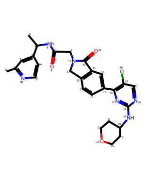 Cc1cc(C(C)NC(=O)CN2Cc3ccc(-c4nc(NC5CCOCC5)ncc4Cl)cc3C2=O)ccn1